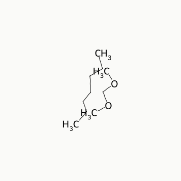 CCCCCCC.COCOC